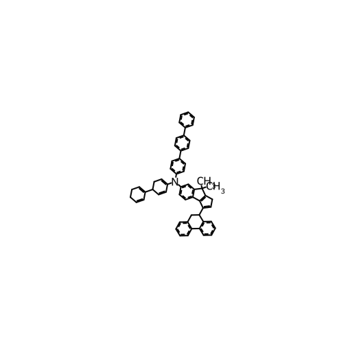 CC1(C)C2=C(C(C3Cc4ccccc4-c4ccccc43)=CC2)c2ccc(N(C3=CCC(C4=CCCC=C4)C=C3)c3ccc(-c4ccc(-c5ccccc5)cc4)cc3)cc21